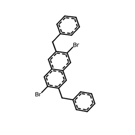 Brc1cc2cc(Cc3ccccc3)c(Br)cc2cc1Cc1ccccc1